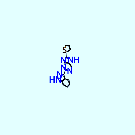 c1csc(-c2nc3nc(-c4n[nH]c5ccccc45)ncc3[nH]2)c1